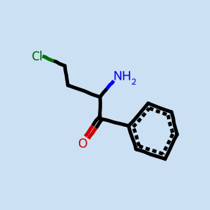 NC(CCCl)C(=O)c1ccccc1